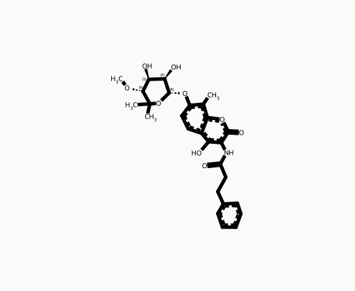 CO[C@@H]1[C@@H](O)[C@@H](O)[C@H](Oc2ccc3c(O)c(NC(=O)CCc4ccccc4)c(=O)oc3c2C)OC1(C)C